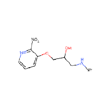 CC(C)NCC(O)COc1cccnc1[N+](=O)[O-]